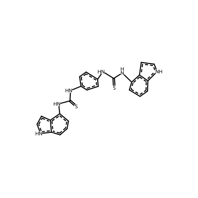 S=C(Nc1ccc(NC(=S)Nc2cccc3[nH]ccc23)cc1)Nc1cccc2[nH]ccc12